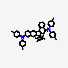 Cc1ccc(N(c2ccc(C)cc2)c2ccc3cc4c(cc3c2)C([Si](C)(C)C)([Si](C)(C)C)c2cc(N(c3ccc(C)cc3)c3ccc(C)cc3)c3ccccc3c2-4)cc1